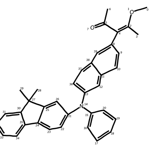 CO/C(C)=C(\C(C)=O)c1ccc2cc(N(c3ccccc3)c3ccc4c(c3)C(C)(C)c3ccccc3-4)ccc2c1